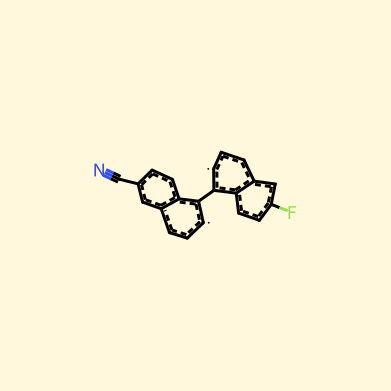 N#Cc1ccc2c(-c3[c]ccc4cc(F)ccc34)[c]ccc2c1